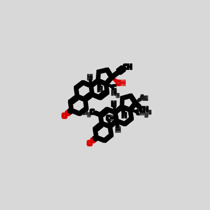 C#C[C@]1(O)CC[C@H]2[C@@H]3CCC4=CC(=O)CCC4=C3C=C[C@@]21C.CC(=O)[C@@]1(C)CC[C@H]2[C@@H]3C=C(C)C4=CC(=O)CC[C@]4(C)[C@H]3CC[C@@]21C